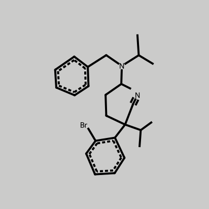 CC(C)N(Cc1ccccc1)C(C)CCC(C#N)(c1ccccc1Br)C(C)C